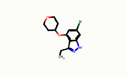 CCc1n[nH]c2cc(Br)cc(OC3CCOCC3)c12